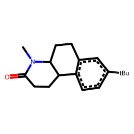 CN1C(=O)CCC2c3ccc(C(C)(C)C)cc3CCC21